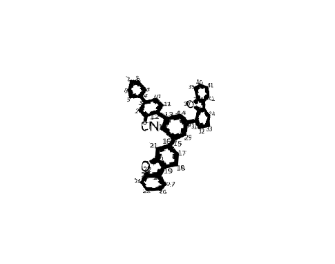 N#Cc1cc(-c2ccccc2)ccc1-c1cc(-c2ccc3c(c2)oc2ccccc23)cc(-c2cccc3c2oc2ccccc23)c1